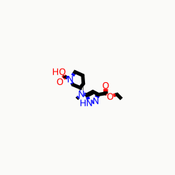 CCOC(=O)c1cc(N(C)[C@H]2CCCN(C(=O)O)C2)[nH]n1